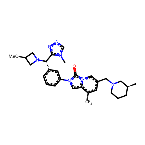 COC1CN([C@@H](c2cccc(-n3cc4c(C(F)(F)F)cc(CN5CCC[C@H](C)C5)cn4c3=O)c2)c2nncn2C)C1